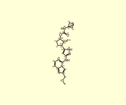 COCc1cn2c(Nc3cc([C@H]4CC[C@@H](OC(=O)NC56CC(C5)C6)[C@H]4F)[nH]n3)nccc2n1